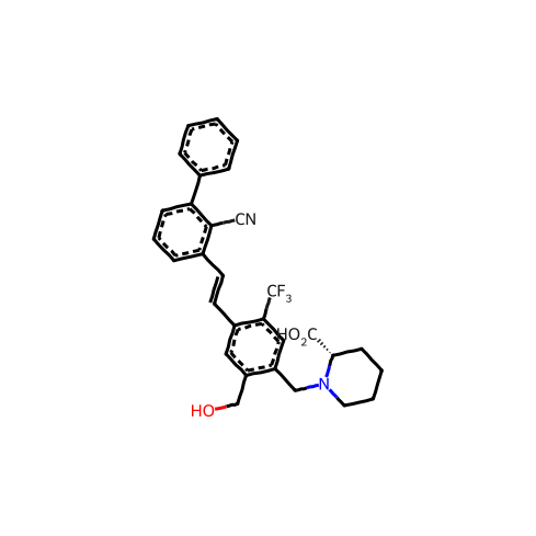 N#Cc1c(/C=C/c2cc(CO)c(CN3CCCC[C@H]3C(=O)O)cc2C(F)(F)F)cccc1-c1ccccc1